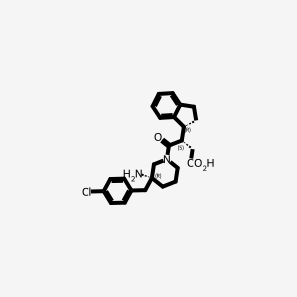 N[C@@]1(Cc2ccc(Cl)cc2)CCCN(C(=O)[C@@H](CC(=O)O)[C@H]2CCc3ccccc32)C1